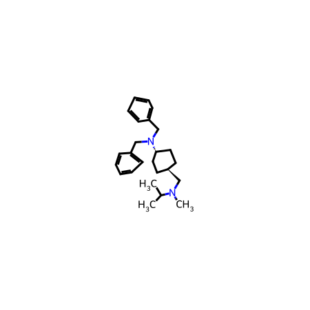 CC(C)N(C)C[C@H]1CC[C@H](N(Cc2ccccc2)Cc2ccccc2)CC1